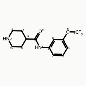 O=C(Nc1cccc(OC(F)(F)F)c1)C1CCNCC1